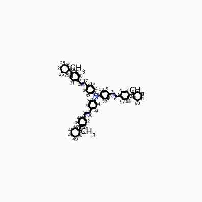 CC1(c2ccc(/C=C/c3ccc(N(c4ccc(/C=C/c5ccc(C6(C)CCCCC6)cc5)cc4)c4ccc(/C=C/c5ccc(C6(C)CCCCC6)cc5)cc4)cc3)cc2)CCCCC1